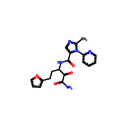 Cc1ncc(C(=O)NC(CCc2ccco2)C(=O)C(N)=O)n1-c1ccccn1